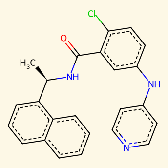 C[C@@H](NC(=O)c1cc(Nc2ccncc2)ccc1Cl)c1cccc2ccccc12